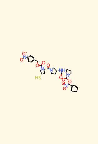 O=C(N[C@@H]1CCN(C(=O)[C@@H]2C[C@H](S)CN2C(=O)OCc2ccc([N+](=O)[O-])cc2)C1)[C@@H]1CCCN1C(=O)OC(c1ccccc1)[N+](=O)[O-]